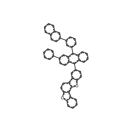 c1ccc(-c2ccc3c(-c4ccc5oc6c(ccc7oc8ccccc8c76)c5c4)c4ccccc4c(-c4cccc(-c5ccc6ccccc6c5)c4)c3c2)cc1